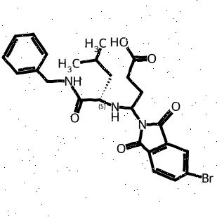 CC(C)C[C@H](NC(CCC(=O)O)N1C(=O)c2ccc(Br)cc2C1=O)C(=O)NCc1ccccc1